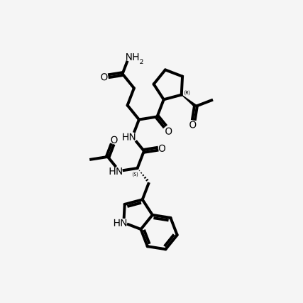 CC(=O)N[C@@H](Cc1c[nH]c2ccccc12)C(=O)NC(CCC(N)=O)C(=O)C1CCC[C@H]1C(C)=O